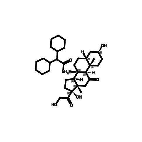 C[C@]12CC[C@@H](O)C[C@H]1CC[C@@H]1[C@@H]2C(=O)C[C@@]2(C)[C@H]1CC[C@]2(O)C(=O)CO.NC(=O)N(C1CCCCC1)C1CCCCC1